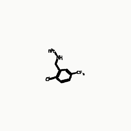 CCCNCc1cc(C(F)(F)F)ccc1Cl